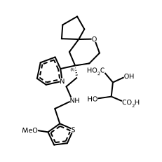 COc1ccsc1CNCC[C@@]1(c2ccccn2)CCOC2(CCCC2)C1.O=C(O)C(O)C(O)C(=O)O